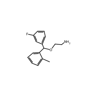 Cc1ccccc1C(OCCN)c1cccc(F)c1